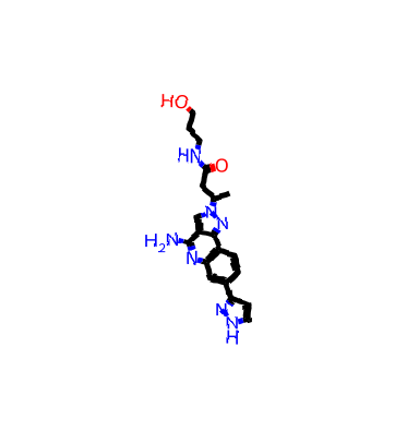 CC(CC(=O)NCCCO)n1cc2c(N)nc3cc(-c4cc[nH]n4)ccc3c2n1